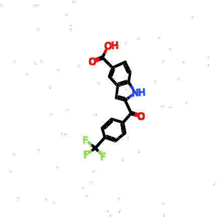 O=C(O)c1ccc2[nH]c(C(=O)c3ccc(C(F)(F)F)cc3)cc2c1